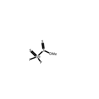 COS(=S)[SH](F)(=S)I